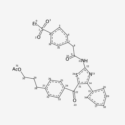 CCS(=O)(=O)c1ccc(CC(=O)Nc2nc(-c3ccccc3)c(C(=O)c3ccc(CCCOC(C)=O)cc3)s2)cc1